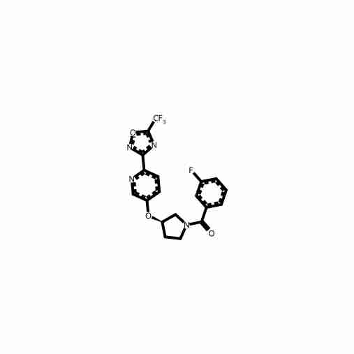 O=C(c1cccc(F)c1)N1CC[C@@H](Oc2ccc(-c3noc(C(F)(F)F)n3)nc2)C1